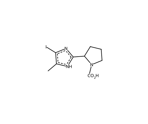 Cc1[nH]c(C2CCCN2C(=O)O)nc1I